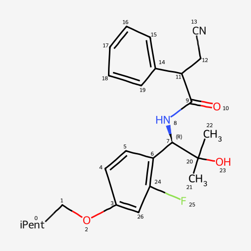 CCCC(C)COc1ccc([C@@H](NC(=O)C(CC#N)c2ccccc2)C(C)(C)O)c(F)c1